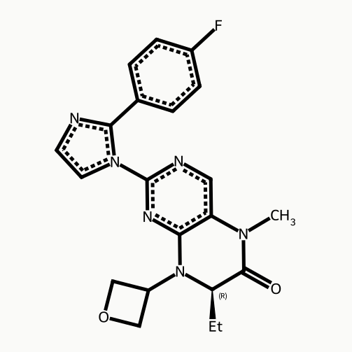 CC[C@@H]1C(=O)N(C)c2cnc(-n3ccnc3-c3ccc(F)cc3)nc2N1C1COC1